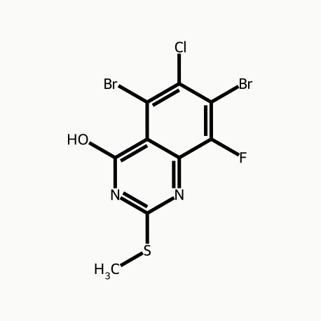 CSc1nc(O)c2c(Br)c(Cl)c(Br)c(F)c2n1